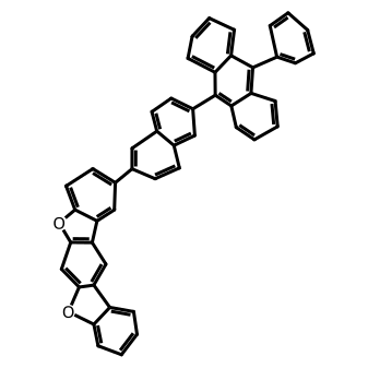 c1ccc(-c2c3ccccc3c(-c3ccc4cc(-c5ccc6oc7cc8oc9ccccc9c8cc7c6c5)ccc4c3)c3ccccc23)cc1